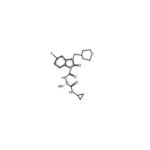 CC(C)(C)[C@H](NC(=O)n1c(=O)n(CC2CCOCC2)c2cc(F)ccc21)C(=O)NC1CC1